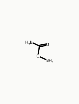 BOC(B)=O